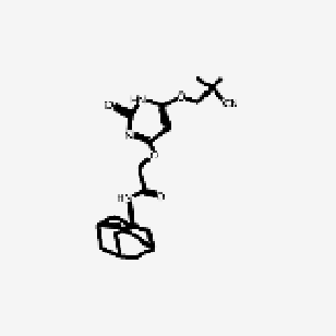 CC(C)(C#N)COc1cc(OCC(=O)NC23CC4CC(CC(C4)C2)C3)nc(=O)[nH]1